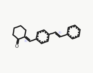 O=C1CCCC/C1=C\c1ccc(/C=C/c2ccccc2)cc1